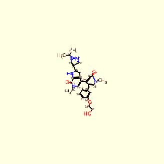 CC(C)n1cc(-c2cc3c(-c4cc(=O)n(C)cc4-c4cccc(OCCO)c4)cn(C)c(=O)c3[nH]2)cn1